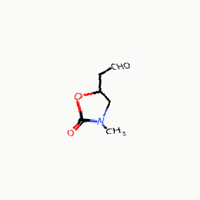 CN1CC(CC=O)OC1=O